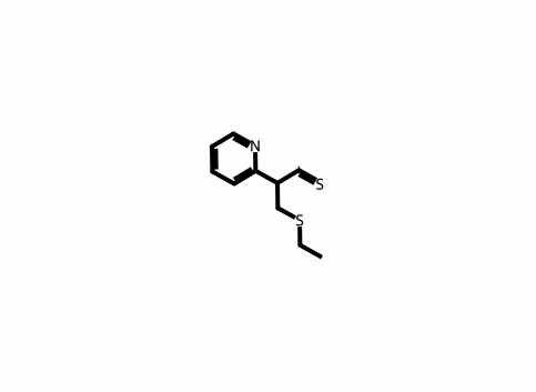 CCSCC([C]=S)c1ccccn1